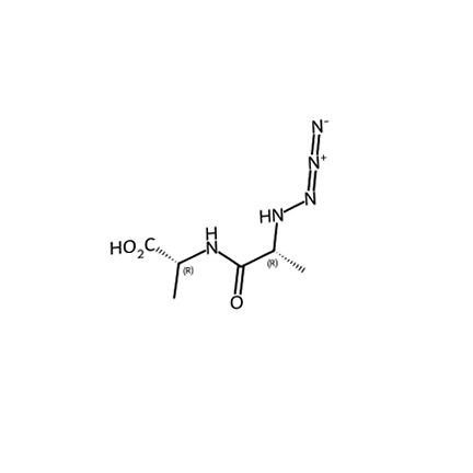 C[C@@H](NC(=O)[C@@H](C)NN=[N+]=[N-])C(=O)O